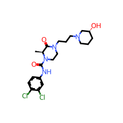 C[C@H]1C(=O)N(CCCN2CCC[C@@H](O)C2)CCN1C(=O)Nc1ccc(Cl)c(Cl)c1